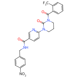 O=C(NCc1ccc([N+](=O)[O-])cc1)c1ccc(N2CCCN(C(=O)c3ccccc3C(F)(F)F)C2=O)nc1